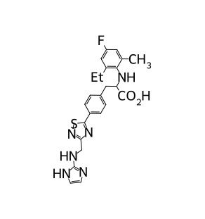 CCc1cc(F)cc(C)c1NC(Cc1ccc(-c2nc(CNc3ncc[nH]3)ns2)cc1)C(=O)O